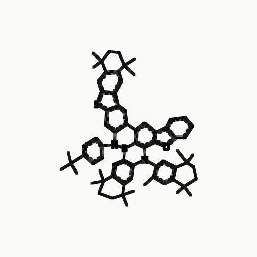 Cc1cc2c(cc1N1c3cc4c(cc3B3c5c(cc6c(oc7ccccc76)c51)-c1cc5c(cc1N3c1ccc(C(C)(C)C)cc1)sc1cc3c(cc15)C(C)(C)CCC3(C)C)C(C)(C)CCC4(C)C)C(C)(C)CCC2(C)C